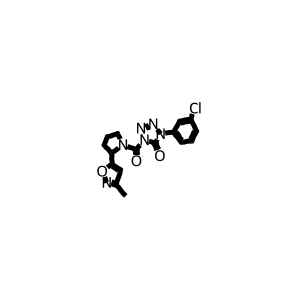 Cc1cc(C2CCCN2C(=O)n2nnn(-c3cccc(Cl)c3)c2=O)on1